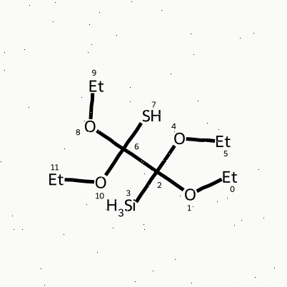 CCOC([SiH3])(OCC)C(S)(OCC)OCC